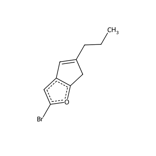 CCCC1=Cc2cc(Br)oc2C1